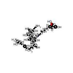 C[C@H](CCC(=O)N[C@H](CC(=O)O)C(=O)N[C@H](CC(=O)O)C(=O)N[C@H](CC(=O)O)C(=O)N[C@@H](CCCN(N)/C=C(\N)CCOC(=O)NCCNC(=S)Nc1ccc2c(c1)C(=O)OC21c2ccc(O)cc2Oc2cc(O)ccc21)C(=O)N[C@H](CC(=O)O)C(=O)N[C@H](CC(=O)O)C(=O)N[C@H](CCCCN)C(=O)O)NC(=O)c1ccc(NCc2cnc3nc(N)nc(O)c3n2)cc1